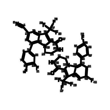 N#Cc1cc(-c2ccc(F)c(F)c2)c2c(c1)c(C(F)(F)F)c1n2CCNC1=O.O=C1NCCn2c1c(C(F)(F)F)c1cc(F)cc(-c3ccc(F)cc3)c12